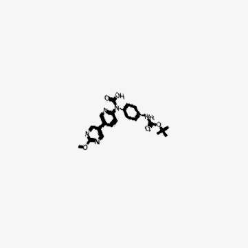 COc1ncc(-c2ccc(N(C(=O)O)[C@H]3CC[C@H](NC(=O)OC(C)(C)C)CC3)nc2)cn1